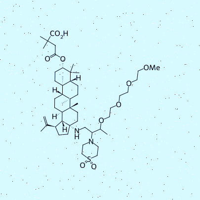 C=C(C)[C@@H]1CC[C@]2(NCC(C(C)OCCOCCOCCOC)N3CCS(=O)(=O)CC3)CC[C@]3(C)[C@H](CC[C@@H]4[C@@]5(C)CC[C@H](OC(=O)CC(C)(C)C(=O)O)C(C)(C)[C@@H]5CC[C@]43C)[C@@H]12